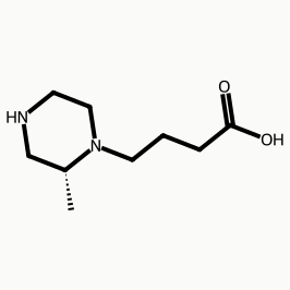 C[C@@H]1CNCCN1CCCC(=O)O